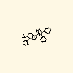 CC1(C)c2ccccc2-c2c1ccc1c2ccn1-c1nnc(-c2ccccc2)n1-c1ccccc1